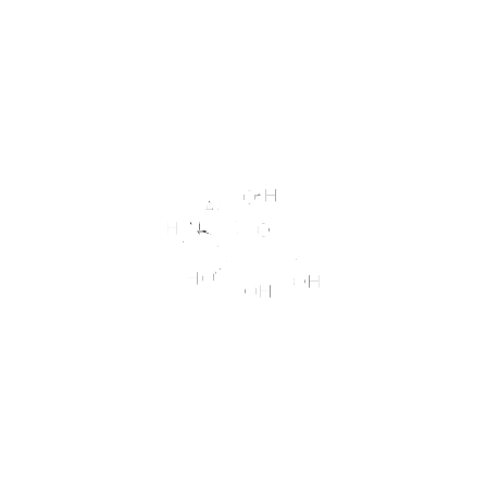 [2H]OC1(C(C)=O)O[C@H](CO)[C@H](O)[C@H](O)[C@H]1N